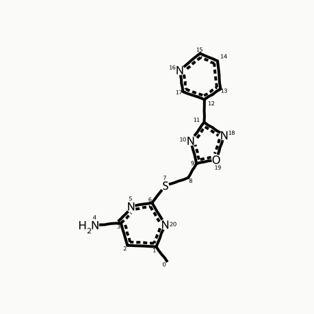 Cc1cc(N)nc(SCc2nc(-c3cccnc3)no2)n1